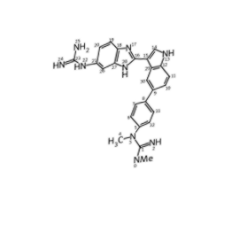 CNC(=N)N(C)c1ccc(-c2ccc3[nH]cc(-c4nc5ccc(NC(=N)N)cc5[nH]4)c3c2)cc1